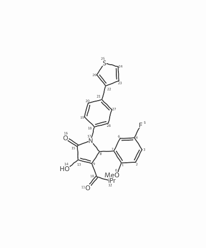 COc1ccc(F)cc1C1C(C(=O)C(C)C)=C(O)C(=O)N1c1ccc(-c2ccsc2)cc1